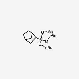 CCCCO[Si](OCCCC)(OCCCC)C1CC2CCC1C2